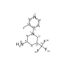 Cc1cnccc1N1CC(N)CC(C(F)(F)F)C1